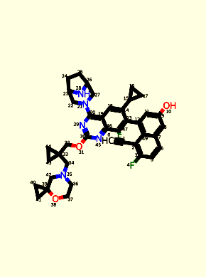 C#Cc1c(F)ccc2cc(O)cc(-c3c(C4CC4)cc4c(N5CC6CCC(C5)N6)nc(OCC5(CN6CCOC7(CC7)C6)CC5)nc4c3F)c12